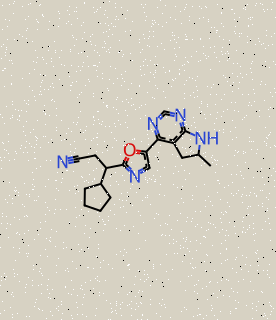 CC1Cc2c(ncnc2-c2cnc(C(CC#N)C3CCCC3)o2)N1